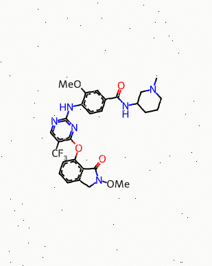 COc1cc(C(=O)NC2CCCN(C)C2)ccc1Nc1ncc(C(F)(F)F)c(Oc2cccc3c2C(=O)N(OC)C3)n1